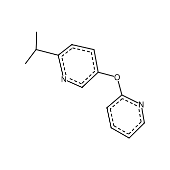 CC(C)c1ccc(Oc2ccccn2)cn1